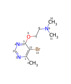 Cc1ncnc(OCCN(C)C)c1Br